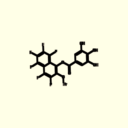 CC(C)Oc1c(F)c(F)c2c(F)c(F)c(F)c(F)c2c1OC(=O)c1cc(O)c(O)c(O)c1